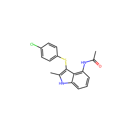 CC(=O)Nc1cccc2[nH]c(C)c(Sc3ccc(Cl)cc3)c12